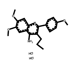 CCCc1c(-c2ccc(OC)cc2)nc2cc(OC)c(OC)cc2c1N.Cl.Cl